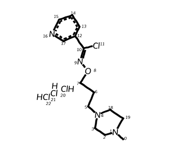 CN1CCN(CCCON=C(Cl)c2cccnc2)CC1.Cl.Cl.Cl